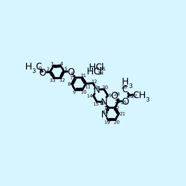 COc1ccc(Oc2cccc(CN3CCN(c4ncccc4C(=O)OC(C)C)CC3)c2)cc1.Cl.Cl